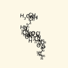 CC1(C)C[C@H](CCCNc2cccc(S(=O)(=O)NC(=O)c3ccc(N4CCC(OCCC5CCC56CC6)C4=O)nc3Cl)n2)CN1